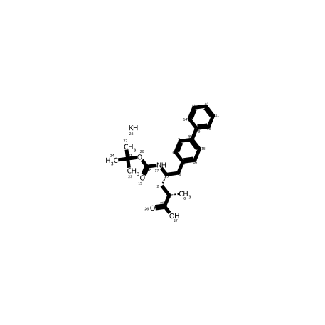 C[C@@H](C[C@@H](Cc1ccc(-c2ccccc2)cc1)NC(=O)OC(C)(C)C)C(=O)O.[KH]